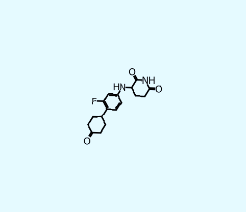 O=C1CCC(c2ccc(NC3CCC(=O)NC3=O)cc2F)CC1